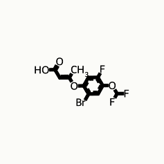 C/C(=C\C(=O)O)Oc1cc(F)c(OC(F)F)cc1Br